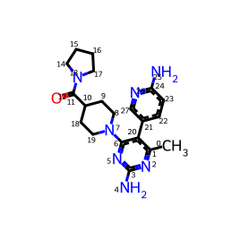 Cc1nc(N)nc(N2CCC(C(=O)N3CCCC3)CC2)c1-c1ccc(N)nc1